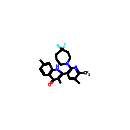 Cc1ccc2c(=O)c(C)c(-c3cc(C)c(C(F)(F)F)nc3N3CCCC(F)(F)CC3)[nH]c2c1